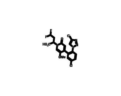 COc1cn(C(CC(F)F)C(=O)O)c(=O)cc1-c1cc(Cl)ccc1-n1cc(Cl)nn1